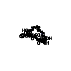 CC(C)=CCC/C(C)=C/CC[C@@]1(C)Oc2c(c(O)cc3c2CN(CCCC(C(=O)O)N2Cc4c(cc(OC(=O)N5CCOCC5)c5c4O[C@](C)(CC/C=C(\C)CCC=C(C)C)[C@@H](O)C5)C2=O)C3=O)C[C@@H]1O